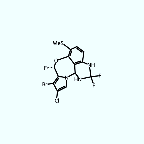 CSc1ccc2c3c1O[C@@H](F)c1c(Br)c(Cl)cn1C3NC(F)(F)N2